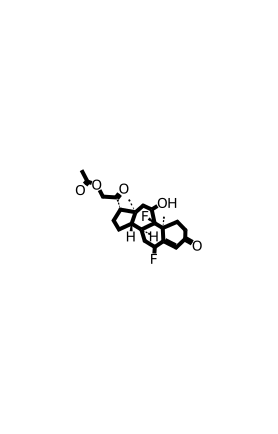 CC(=O)OCC(=O)[C@H]1CC[C@H]2[C@@H]3CC(F)C4=CC(=O)CC[C@]4(C)[C@@]3(F)C(O)C[C@]12C